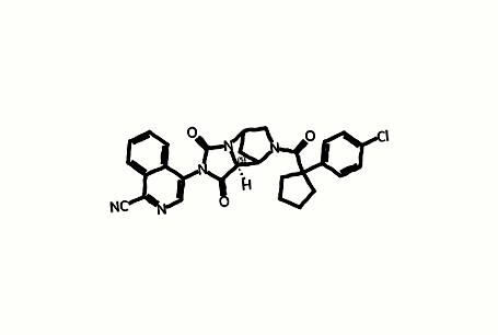 N#Cc1ncc(N2C(=O)[C@@H]3C4CC(CN4C(=O)C4(c5ccc(Cl)cc5)CCCC4)N3C2=O)c2ccccc12